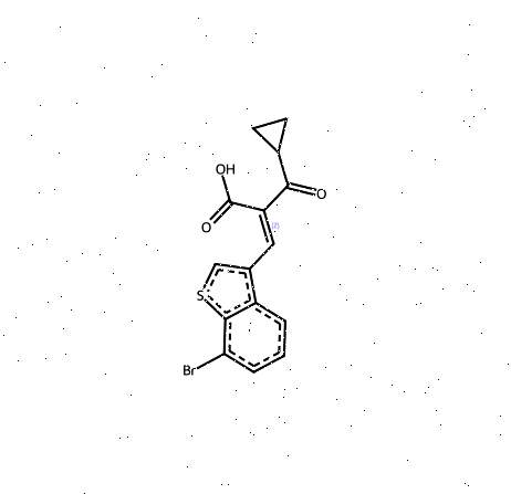 O=C(O)/C(=C\c1csc2c(Br)cccc12)C(=O)C1CC1